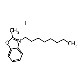 CCCCCCCC[n+]1c(C)oc2ccccc21.[I-]